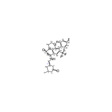 CC1CC(=O)C/C(=C\Nc2nc(=O)n3c4c(c(-c5ccc(F)cc5F)c(C(F)(F)F)cc24)OCC3)C1